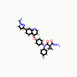 NC(=O)C1(C(=O)N(c2ccc(F)cc2)c2ccc(Oc3ccnc4cc(-c5ccn(CF)n5)ccc34)cc2)CC1